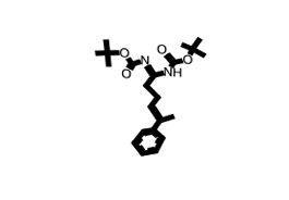 CC(=CCC/C(=N\C(=O)OC(C)(C)C)NC(=O)OC(C)(C)C)c1ccccc1